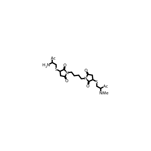 CNC(CSC1CC(=O)N(CCCCN2C(=O)CC(SCC(N)C(C)=O)C2=O)C1=O)C(C)=O